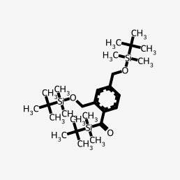 CC(C)(C)[Si](C)(C)OCc1ccc(C(=O)[Si](C)(C)C(C)(C)C)c(CO[Si](C)(C)C(C)(C)C)c1